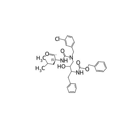 CC(C)C[C@@H]([C]=O)NC(=O)N(Cc1cccc(Cl)c1)CC(O)C(Cc1ccccc1)NC(=O)OCc1ccccc1